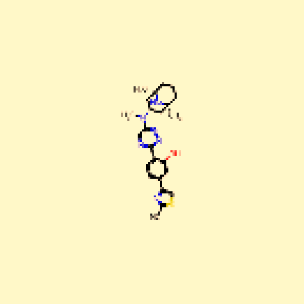 CN(c1cnc(-c2ccc(-c3csc(C#N)n3)cc2O)nn1)[C@H]1C[C@]2(C)CCC[C@](C)(C1)N2